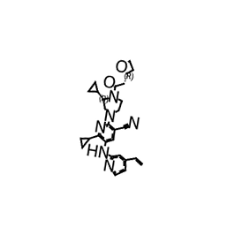 C=Cc1ccnc(Nc2cc(C#N)c(N3CCN(C(=O)C[C@H]4CCO4)[C@H](C4CC4)C3)nc2C2CC2)c1